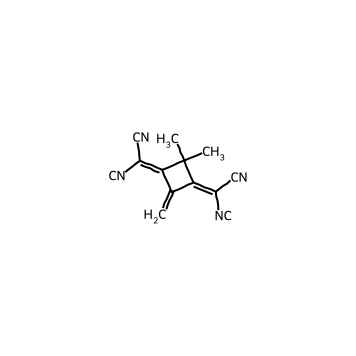 [C-]#[N+]/C(C#N)=C1\C(=C)/C(=C(/C#N)[N+]#[C-])C1(C)C